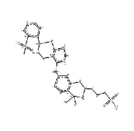 CCS(=O)(=O)CCCN1Cc2cc(Nc3ncnc4c3CCN(c3ncccc3S(C)(=O)=O)C4)ccc2C(C)(C)C1